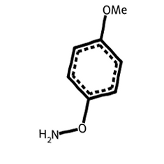 COc1ccc(ON)cc1